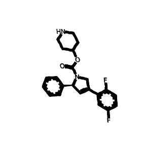 O=C(OC1CCNCC1)N1CC(c2cc(F)ccc2F)=C[C@H]1c1ccccc1